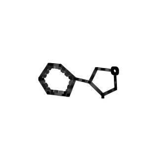 [CH]1COCC1c1ccccc1